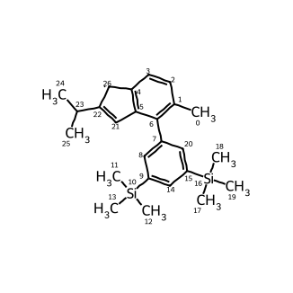 Cc1ccc2c(c1-c1cc([Si](C)(C)C)cc([Si](C)(C)C)c1)C=C(C(C)C)[CH]2